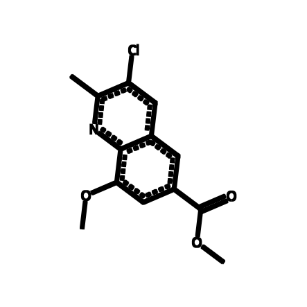 COC(=O)c1cc(OC)c2nc(C)c(Cl)cc2c1